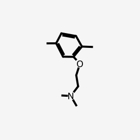 Cc1ccc(C)c(OCCN(C)C)c1